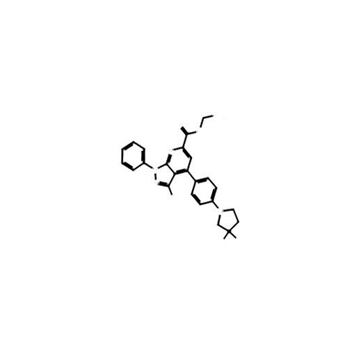 CCOC(=O)c1cc(-c2ccc(N3CCC(F)(F)C3)cc2)c2c(C)nn(-c3ccccc3)c2n1